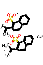 C=C(C)c1ccc2ccccc2c1S(=O)(=O)[O-].C=C(C)c1ccc2ccccc2c1S(=O)(=O)[O-].[Ca+2]